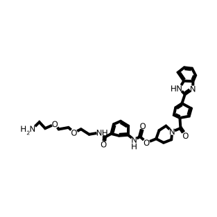 NCCOCCOCCNC(=O)c1cccc(NC(=O)OC2CCN(C(=O)c3ccc(-c4nc5ccccc5[nH]4)cc3)CC2)c1